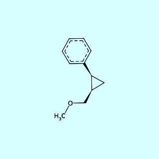 COC[C@@H]1C[C@@H]1c1ccccc1